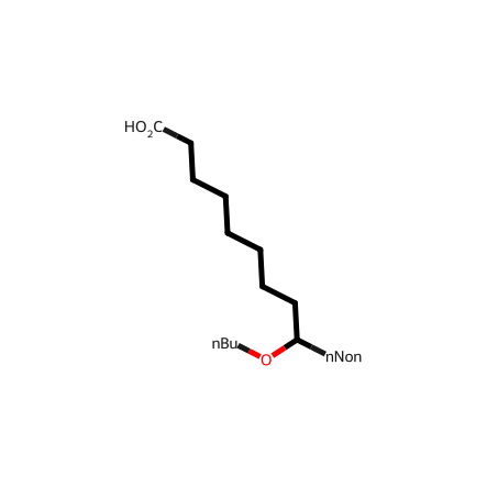 CCCCCCCCCC(CCCCCCCC(=O)O)OCCCC